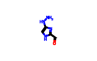 NNc1c[nH]c([C]=O)n1